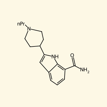 CCCN1CCC(c2cc3cccc(C(N)=O)c3[nH]2)CC1